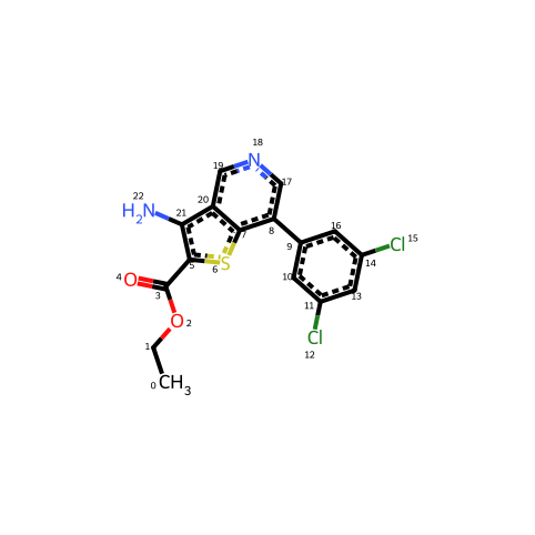 CCOC(=O)c1sc2c(-c3cc(Cl)cc(Cl)c3)cncc2c1N